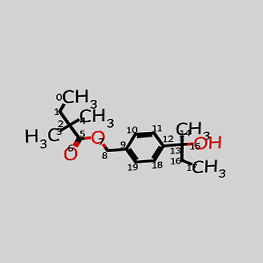 CCC(C)(C)C(=O)OCc1ccc(C(C)(O)CC)cc1